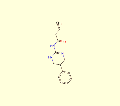 C=CCC(=O)NC1=NCC(c2ccccc2)CN1